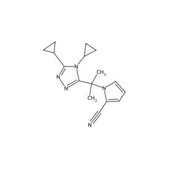 CC(C)(c1nnc(C2CC2)n1C1CC1)n1cccc1C#N